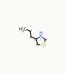 CCCC1CSCN1